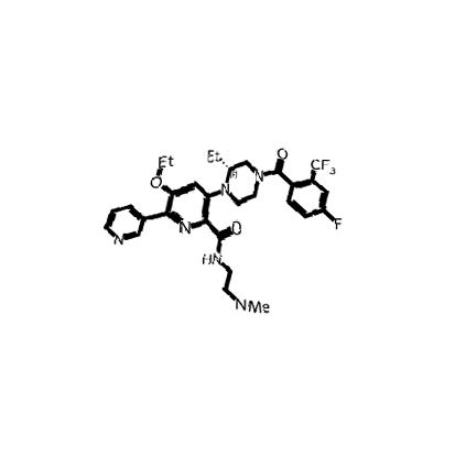 CCOc1cc(N2CCN(C(=O)c3ccc(F)cc3C(F)(F)F)C[C@H]2CC)c(C(=O)NCCNC)nc1-c1cccnc1